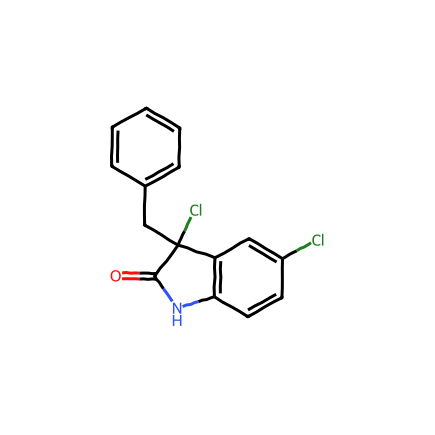 O=C1Nc2ccc(Cl)cc2C1(Cl)Cc1ccccc1